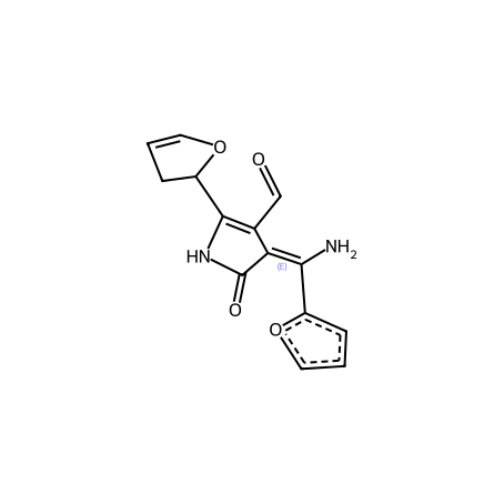 N/C(=C1/C(=O)NC(C2CC=CO2)=C1C=O)c1ccco1